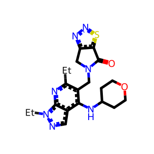 CCc1nc2c(cnn2CC)c(NC2CCOCC2)c1CN1Cc2nnsc2C1=O